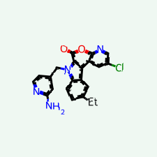 CCc1ccc2c(c1)c1c3cc(Cl)cnc3oc(=O)c1n2Cc1ccnc(N)c1